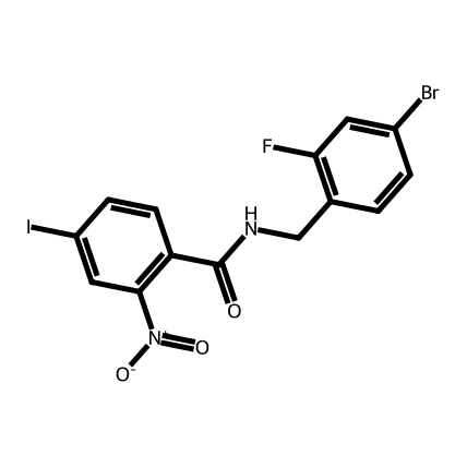 O=C(NCc1ccc(Br)cc1F)c1ccc(I)cc1[N+](=O)[O-]